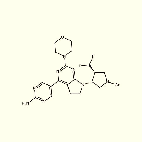 CC(=O)N1C[C@H](C(F)F)[C@@H](N2CCc3c(-c4cnc(N)nc4)nc(N4CCOCC4)nc32)C1